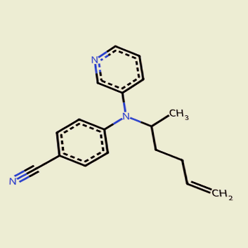 C=CCCC(C)N(c1ccc(C#N)cc1)c1cccnc1